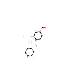 O=C(F)c1ccc(S(=O)(=O)c2ccccc2)c(C(F)(F)F)c1